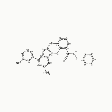 N#Cc1cncc(-c2nc(N)nc3c2cnn3Cc2c(F)cccc2C(=O)OCc2ccccc2)c1